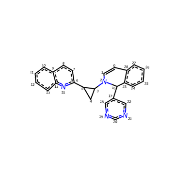 C1=CN(C2CC2c2ccc3ccccc3n2)C(c2cncnc2)c2ccccc21